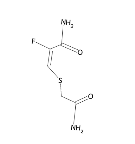 NC(=O)CS/C=C(/F)C(N)=O